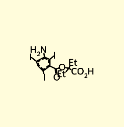 CCC(CC)(OC(=O)c1c(I)cc(I)c(N)c1I)C(=O)O